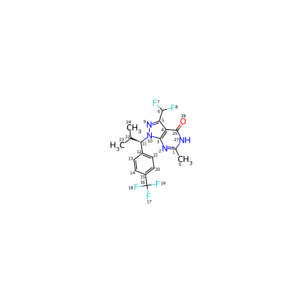 Cc1nc2c(c(C(F)F)nn2[C@@H](c2ccc(C(F)(F)F)cc2)C(C)C)c(=O)[nH]1